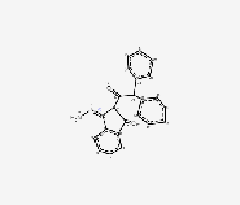 N/N=C1\c2ccccc2C(=O)C1C(=O)C(c1ccccc1)c1ccccc1